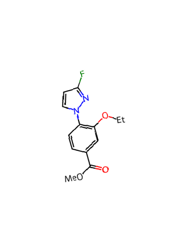 CCOc1cc(C(=O)OC)ccc1-n1ccc(F)n1